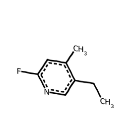 CCc1cnc(F)cc1C